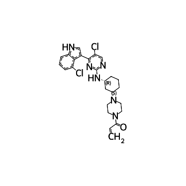 C=CC(=O)N1CCN([C@H]2CCC[C@@H](Nc3ncc(Cl)c(-c4c[nH]c5cccc(Cl)c45)n3)C2)CC1